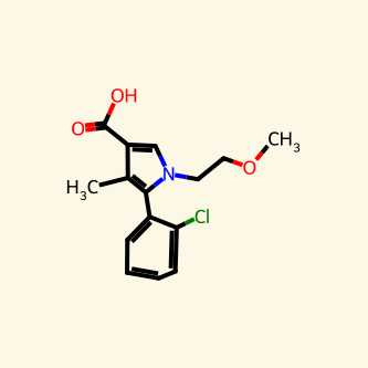 COCCn1cc(C(=O)O)c(C)c1-c1ccccc1Cl